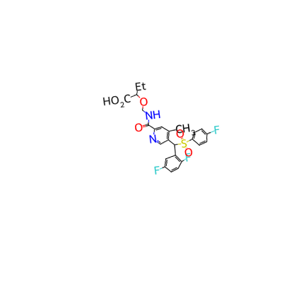 CCC(OCNC(=O)c1cc(C)c(C(c2cc(F)ccc2F)S(=O)(=O)c2ccc(F)cc2)cn1)C(=O)O